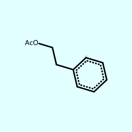 CC(=O)OCCc1[c]cccc1